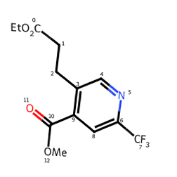 CCOC(=O)CCc1cnc(C(F)(F)F)cc1C(=O)OC